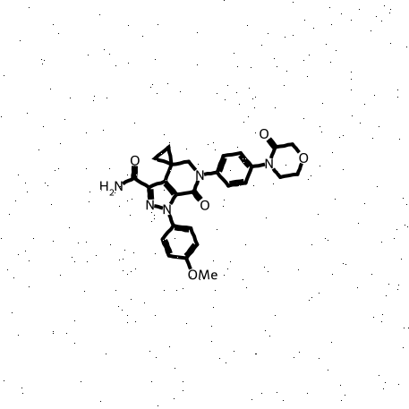 COc1ccc(-n2nc(C(N)=O)c3c2C(=O)N(c2ccc(N4CCOCC4=O)cc2)CC32CC2)cc1